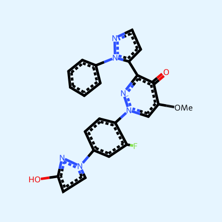 COc1cn(-c2ccc(-n3ccc(O)n3)cc2F)nc(-c2ccnn2-c2ccccc2)c1=O